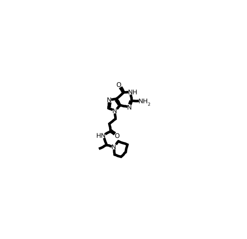 CC(NC(=O)CCn1cnc2c(=O)[nH]c(N)nc21)N1CCCCC1